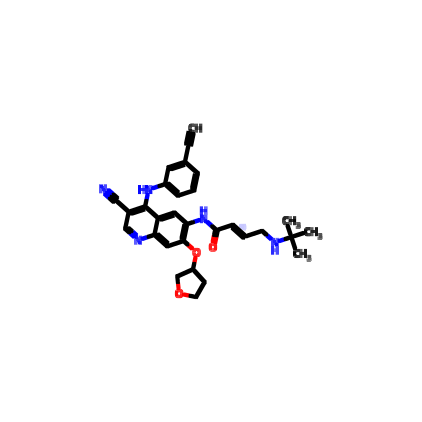 C#Cc1cccc(Nc2c(C#N)cnc3cc(OC4CCOC4)c(NC(=O)/C=C/CNC(C)(C)C)cc23)c1